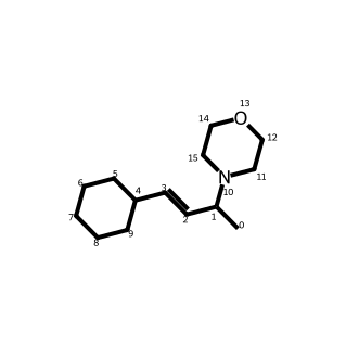 CC(C=CC1CCCCC1)N1CCOCC1